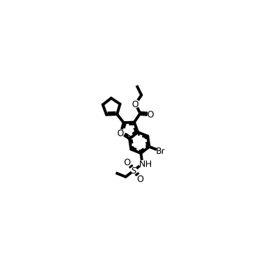 CCOC(=O)c1c(C2=CCCC2)oc2cc(NS(=O)(=O)CC)c(Br)cc12